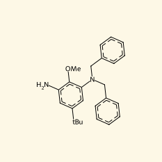 COc1c(N)cc(C(C)(C)C)cc1N(Cc1ccccc1)Cc1ccccc1